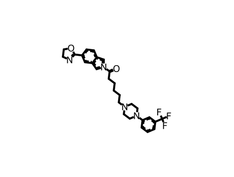 O=C(CCCCCN1CCN(c2cccc(C(F)(F)F)c2)CC1)n1cc2ccc(C3=NCCO3)cc2c1